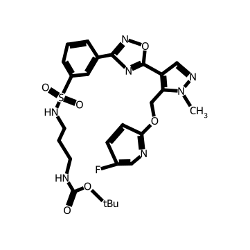 Cn1ncc(-c2nc(-c3cccc(S(=O)(=O)NCCCNC(=O)OC(C)(C)C)c3)no2)c1COc1ccc(F)cn1